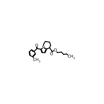 CCCCCOC(=O)C1CCCCn2c(C(=O)c3cccc(C)c3)ccc21